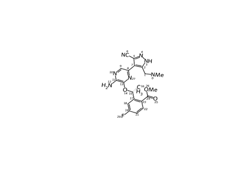 CNCc1[nH]nc(C#N)c1-c1cnc(N)c(O[C@H](C)c2cc(F)ccc2C(=O)OC)n1